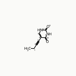 CCC#Cc1c[nH]c(=O)[nH]c1=O